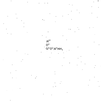 [Al+3].[Al+3].[AlH3].[O-2].[O-2].[O-2]